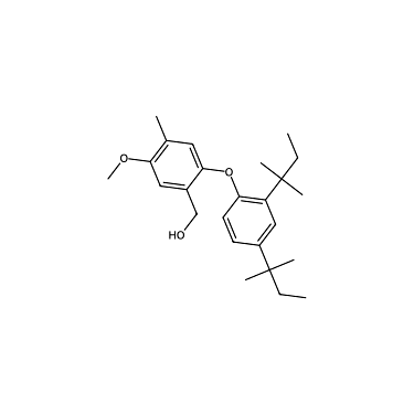 CCC(C)(C)c1ccc(Oc2cc(C)c(OC)cc2CO)c(C(C)(C)CC)c1